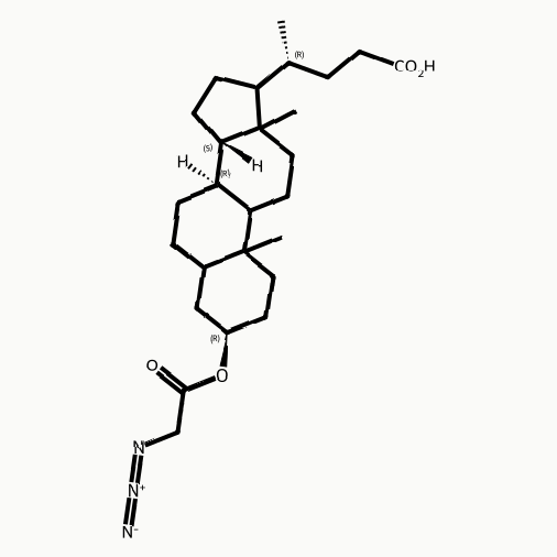 C[C@H](CCC(=O)O)C1CC[C@H]2[C@@H]3CCC4C[C@H](OC(=O)CN=[N+]=[N-])CCC4(C)C3CCC12C